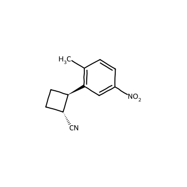 Cc1ccc([N+](=O)[O-])cc1[C@@H]1CC[C@H]1C#N